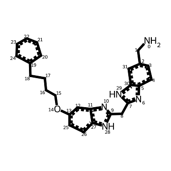 NCc1ccc2nc(Cc3nc4cc(OCCCCc5ccccc5)ccc4[nH]3)[nH]c2c1